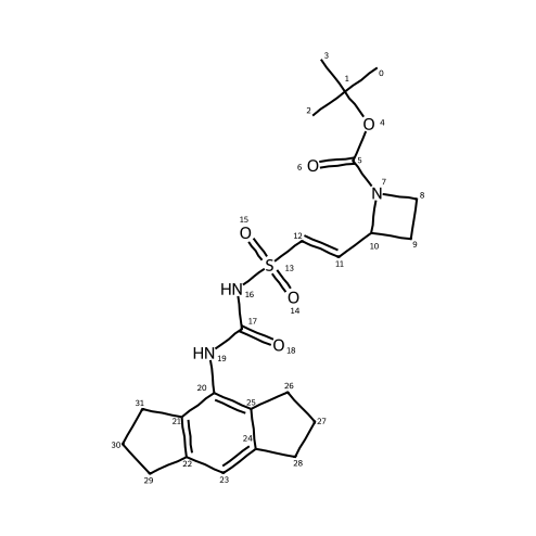 CC(C)(C)OC(=O)N1CCC1C=CS(=O)(=O)NC(=O)Nc1c2c(cc3c1CCC3)CCC2